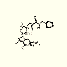 C[C@H]1O[C@@H](n2c[n+](C)c3c(=O)[nH]c(N)nc32)[C@H](O)[C@@H]1CNC(=O)NCc1ccccc1